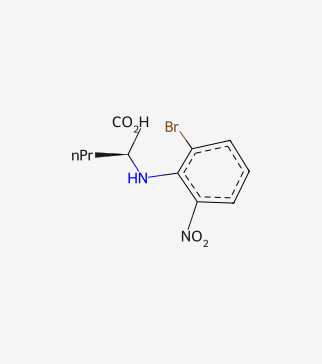 CCC[C@H](Nc1c(Br)cccc1[N+](=O)[O-])C(=O)O